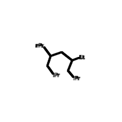 CCCC(CC(C)C)CC(CC)CC(C)C